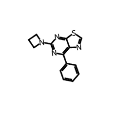 c1ccc(-c2nc(N3CCC3)nc3scnc23)cc1